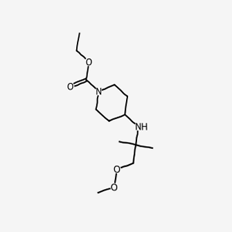 CCOC(=O)N1CCC(NC(C)(C)COOC)CC1